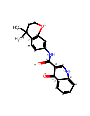 CC1(C)CCOc2cc(NC(=O)c3c[nH]c4ccccc4c3=O)ccc21